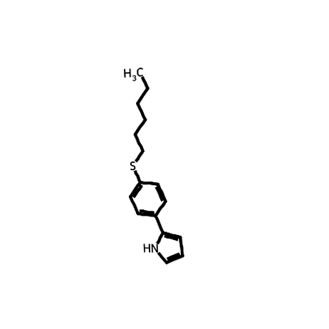 CCCCCCSc1ccc(-c2ccc[nH]2)cc1